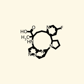 CC1(C(=O)O)CCc2ncc(F)cc2C2CCCN2c2ccn3ncc(c3n2)N1